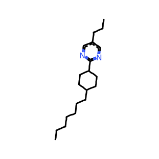 CCCCCCCC1CCC(c2ncc(CCC)cn2)CC1